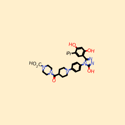 CC(C)c1cc(-c2nnc(O)n2-c2ccc(N3CCC(C(=O)N4CCN(C(=O)O)CC4)CC3)cc2)c(O)cc1O